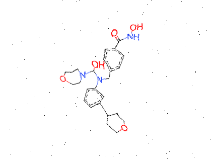 O=C(NO)c1ccc(CN(c2cccc(C3CCOCC3)c2)C(O)N2CCOCC2)cc1